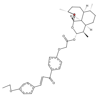 CCOc1ccc(/C=C/C(=O)c2ccc(OCC(=O)O[C@@H]3O[C@@H]4O[C@]5(C)CC[C@H]6[C@H](C)CC[C@@H]([C@H]3C)[C@@]46OO5)cc2)cc1